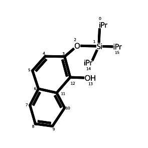 CC(C)[Si](Oc1ccc2ccccc2c1O)(C(C)C)C(C)C